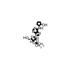 CC1(C)O[C@@H]2[C@H](O1)[C@@H](CO)O[C@H]2n1cnc2c(N[C@H]3CCC[C@@H]3O)ncnc21